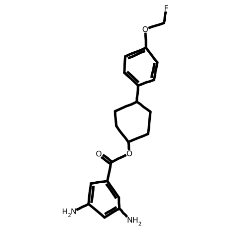 Nc1cc(N)cc(C(=O)OC2CCC(c3ccc(OCF)cc3)CC2)c1